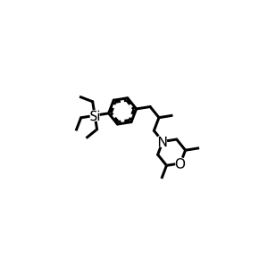 CC[Si](CC)(CC)c1ccc(CC(C)CN2CC(C)OC(C)C2)cc1